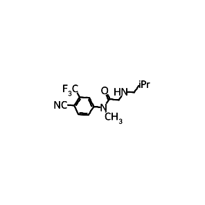 CC(C)CNCC(=O)N(C)c1ccc(C#N)c(C(F)(F)F)c1